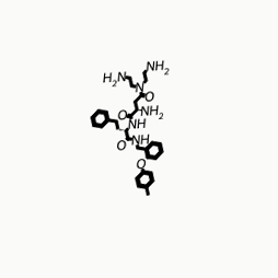 Cc1ccc(Oc2ccccc2CNC(=O)[C@H](CCc2ccccc2)NC(=O)[C@@H](N)CC(=O)N(CCN)CCN)cc1